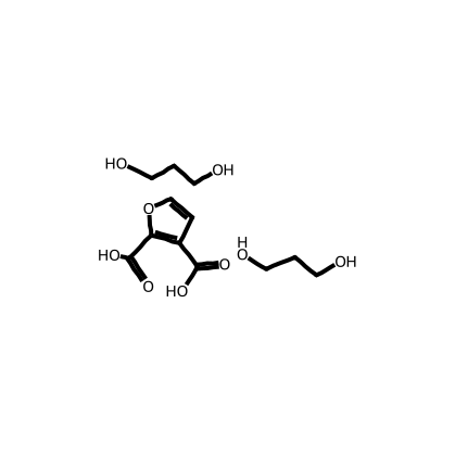 O=C(O)c1ccoc1C(=O)O.OCCCO.OCCCO